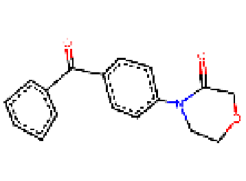 O=C(c1ccccc1)c1ccc(N2CCOCC2=O)cc1